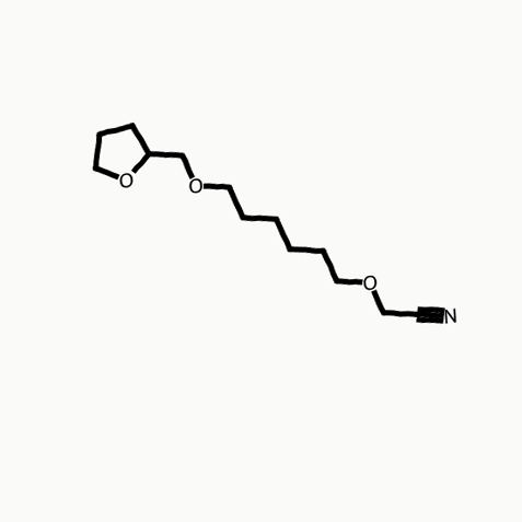 N#CCOCCCCCCOCC1CCCO1